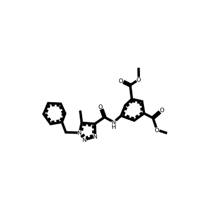 COC(=O)c1cc(NC(=O)c2nnn(Cc3ccccc3)c2C)cc(C(=O)OC)c1